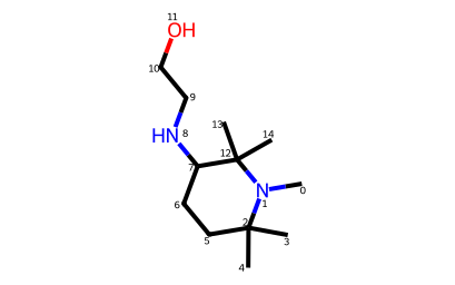 CN1C(C)(C)CCC(NCCO)C1(C)C